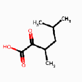 CC(C)CC(C)C(=O)C(=O)O